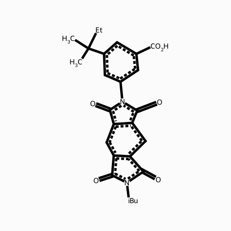 CCC(C)n1c(=O)c2cc3c(=O)n(-c4cc(C(=O)O)cc(C(C)(C)CC)c4)c(=O)c3cc2c1=O